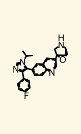 CC(C)n1cnc(-c2ccc(F)cc2)c1-c1ccc2ncc(C34CNC(CO3)C4)cc2c1